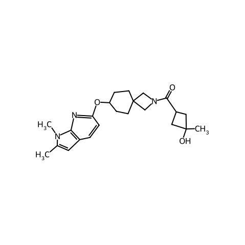 Cc1cc2ccc(OC3CCC4(CC3)CN(C(=O)C3CC(C)(O)C3)C4)nc2n1C